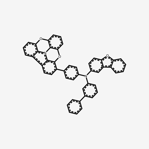 c1ccc(-c2cccc(N(c3ccc(-c4ccc5c6cccc7c6n6c5c4Oc4cccc(c4-6)O7)cc3)c3ccc4oc5ccccc5c4c3)c2)cc1